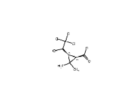 CC1(C)[C@H](C(=O)Cl)[C@@H]1C(Cl)C(Cl)(Cl)Cl